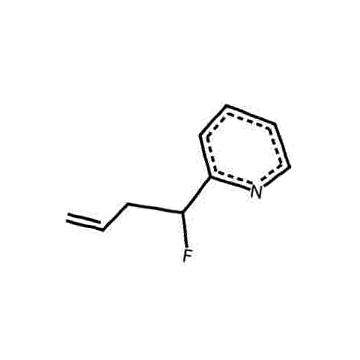 C=CCC(F)c1ccccn1